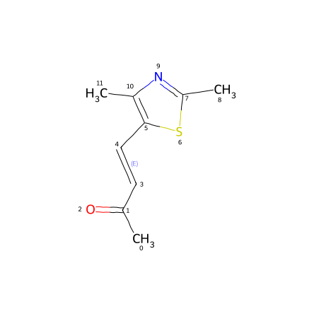 CC(=O)/C=C/c1sc(C)nc1C